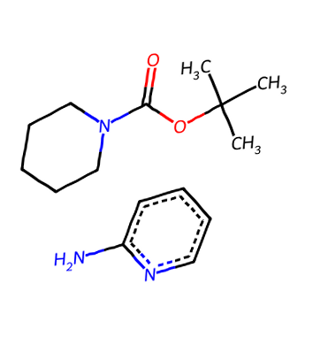 CC(C)(C)OC(=O)N1CCCCC1.Nc1ccccn1